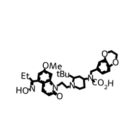 CCC(=NO)c1cc(OC)cc2c1ccc(=O)n2CCN1CCC(N(Cc2ccc3c(c2)OCCO3)C(=O)O)CC1C(C)(C)C